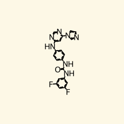 O=C(Nc1ccc(Nc2cc(-n3ccnc3)ncn2)cc1)Nc1cc(F)cc(F)c1